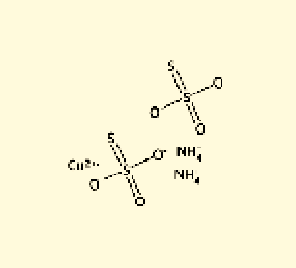 O=S([O-])([O-])=S.O=S([O-])([O-])=S.[Cu+2].[NH4+].[NH4+]